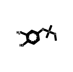 CO[Si](C)(C)Oc1ccc(O)c(N)c1